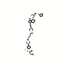 C[C@H](c1ccc(C#CC2CCN(C(=O)CCCCC(=O)N3CCC(c4ccc5c(c4)n(C)c(=O)n5[C@@H]4CCC(=O)NC4=O)CC3)CC2)c2ccccc12)N1CCC(C(=O)NCc2cccc(F)c2)CC1